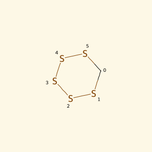 C1SSSSS1